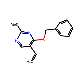 C=Cc1cnc(SC)nc1OCc1ccccc1